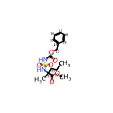 CCCC(C)(NS(=O)(=O)NC(=O)OCc1ccccc1)C(=O)OC